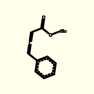 CC(C)(C)OC(=O)C=C=Cc1ccccc1